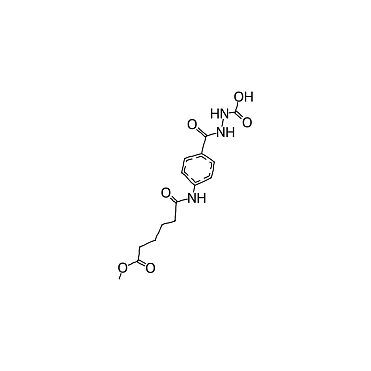 COC(=O)CCCCC(=O)Nc1ccc(C(=O)NNC(=O)O)cc1